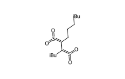 CCC(C)CCCC(C(C(C)CC)=S(=O)=O)=S(=O)=O